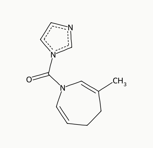 CC1=CN(C(=O)n2ccnc2)C=CCC1